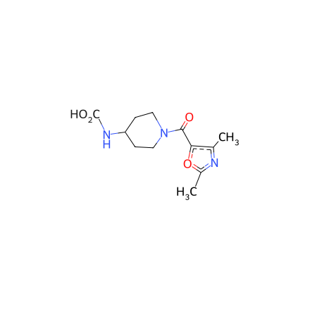 Cc1nc(C)c(C(=O)N2CCC(NC(=O)O)CC2)o1